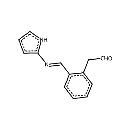 O=[C]Cc1ccccc1C=Nc1ccc[nH]1